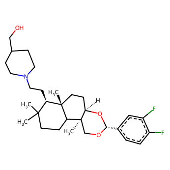 CC1(C)CCC2[C@]3(C)CO[C@@H](c4ccc(F)c(F)c4)O[C@@H]3CC[C@@]2(C)[C@@H]1CCN1CCC(CO)CC1